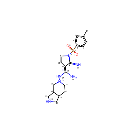 Cc1ccc(S(=O)(=O)N2C=C/C(=C(/N)NN3CCC4CNCC4C3)C2=N)cc1